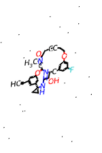 C#Cc1cccc(C2(NCC(O)C3Cc4cc(F)cc(c4)OCCCCCC(=O)N(C)CC(=O)N3)CC2)c1